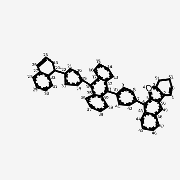 C1=Cc2c(oc3c(-c4ccc(-c5c6ccccc6c(-c6ccc(C7CC=Cc8ccccc87)cc6)c6ccccc56)cc4)c4ccccc4cc23)CC1